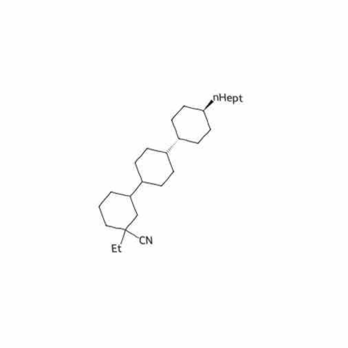 CCCCCCC[C@H]1CC[C@H](C2CCC(C3CCCC(C#N)(CC)C3)CC2)CC1